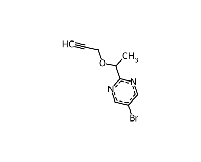 C#CCOC(C)c1ncc(Br)cn1